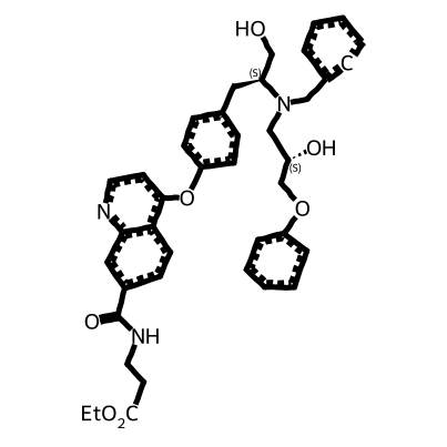 CCOC(=O)CCNC(=O)c1ccc2c(Oc3ccc(C[C@@H](CO)N(Cc4ccccc4)C[C@H](O)COc4ccccc4)cc3)ccnc2c1